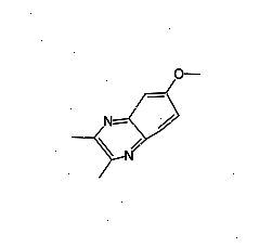 COc1ccc2nc(C)c(C)nc2c1